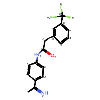 CC(=N)c1ccc(NC(=O)Cc2cccc(C(F)(F)F)c2)cc1